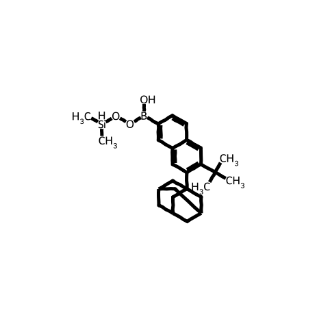 C[SiH](C)OOB(O)c1ccc2cc(C(C)(C)C)c(C34CC5CC(CC(C5)C3)C4)cc2c1